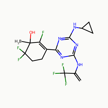 BC1(O)C(F)=C(c2nc(NC(=C)C(F)(F)F)nc(NC3CC3)n2)CCC1(F)F